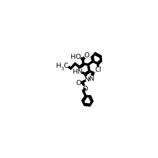 CCCC1=C(C(=O)O)C(c2ccccc2Cl)c2cnn(C(=O)OCc3ccccc3)c2N1